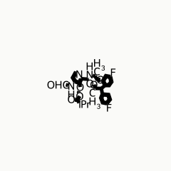 CC(C)C(=O)OCOc1c(NC=O)ccnc1C(=O)NC(C)C(=O)OC(C)C(c1ccc(F)cc1)c1ccc(F)cc1